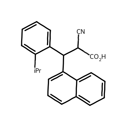 CC(C)c1ccccc1C(c1cccc2ccccc12)C(C#N)C(=O)O